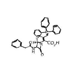 O=C(Cc1ccccc1)NC1C(=O)N2C(C(=O)O)=C(C=P(c3ccccc3)(c3ccccc3)c3ccccc3)CS[C@@H]12